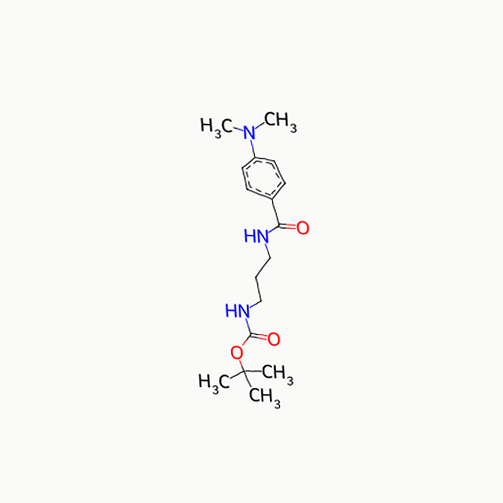 CN(C)c1ccc(C(=O)NCCCNC(=O)OC(C)(C)C)cc1